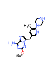 CC[C@@H](C)Oc1nc(N)c2ncc(Cc3cnc(N4CCNCC4)c(C)c3)n2n1